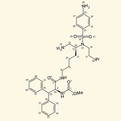 COC(=O)N[C@H](C(=O)NCCCC[C@@H](CN)N(CCC(C)C)S(=O)(=O)c1ccc(N)cc1)C(c1ccccc1)c1ccccc1